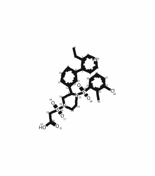 CCc1cnccc1-c1cccc(C2CN(S(=O)(=O)CC(=O)O)CCN2S(=O)(=O)c2cccc(Cl)c2C)c1